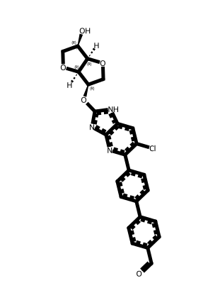 O=Cc1ccc(-c2ccc(-c3nc4nc(O[C@@H]5CO[C@H]6[C@@H]5OC[C@H]6O)[nH]c4cc3Cl)cc2)cc1